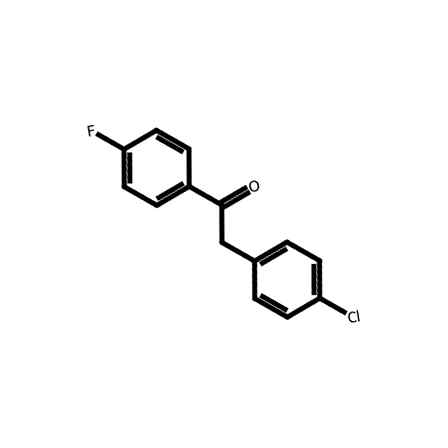 O=C(Cc1ccc(Cl)cc1)c1ccc(F)cc1